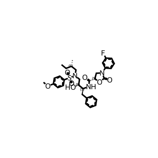 CC[C@H](C)CN(C[C@@H](O)[C@H](Cc1ccccc1)NC(=O)[C@@H]1CN(c2cccc(F)c2)C(=O)O1)S(=O)(=O)c1ccc(OC)cc1